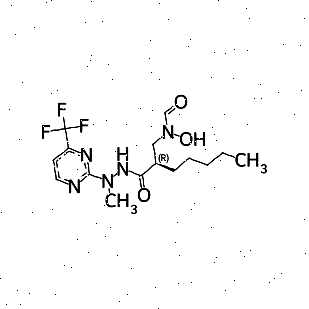 CCCCC[C@H](CN(O)C=O)C(=O)NN(C)c1nccc(C(F)(F)F)n1